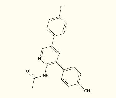 CC(=O)Nc1ncc(-c2ccc(F)cc2)nc1-c1ccc(O)cc1